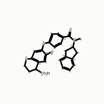 CCOC(=O)C1CCOc2cc(Oc3ccc(C(=O)N(C)C4Cc5ccccc5C4)cc3)c(Cl)cc21